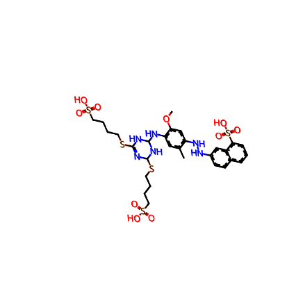 COc1cc(NNc2ccc3cccc(S(=O)(=O)O)c3c2)c(C)cc1NC1NC(SCCCCS(=O)(=O)O)=NC(SCCCCS(=O)(=O)O)N1